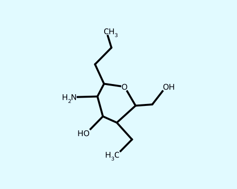 CCCC1OC(CO)C(CC)C(O)C1N